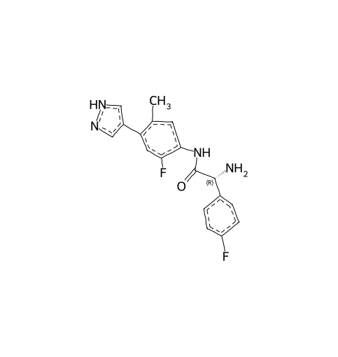 Cc1cc(NC(=O)[C@H](N)c2ccc(F)cc2)c(F)cc1-c1cn[nH]c1